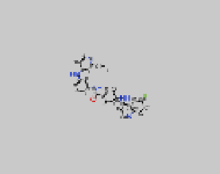 Cc1cc(Nc2cccc(NC(=O)c3ccc(Nc4ccnc5c4CC(F)CC5)cc3)c2)ccn1